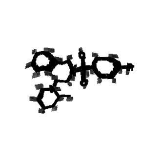 CC(C)c1ccc(S(=O)(=O)N(CCN2CCCCC2C)Cc2ccccc2)cc1